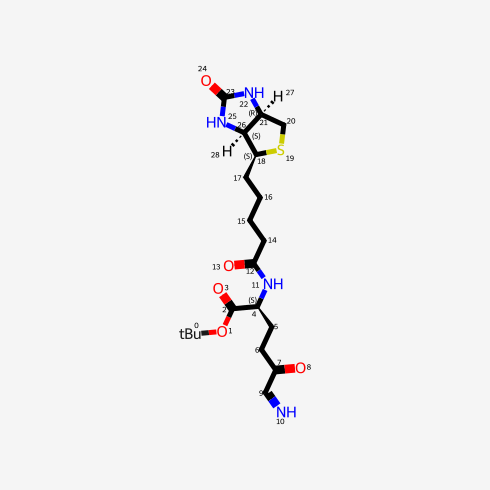 CC(C)(C)OC(=O)[C@H](CCC(=O)C=N)NC(=O)CCCC[C@@H]1SC[C@@H]2NC(=O)N[C@@H]21